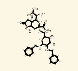 CC[C@@H](OC(C)=O)[C@@H](OC(C)=O)C1O[C@@](OCC2OC(OCc3ccccc3)C(OCc3ccccc3)[C@@H](C)[C@@H]2C)(C(=O)OC)C[C@H]2OC(=O)C[C@@H]12